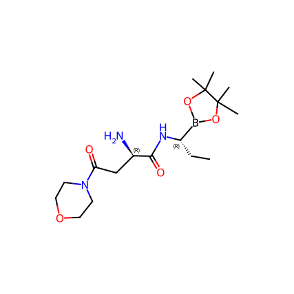 CC[C@H](NC(=O)[C@H](N)CC(=O)N1CCOCC1)B1OC(C)(C)C(C)(C)O1